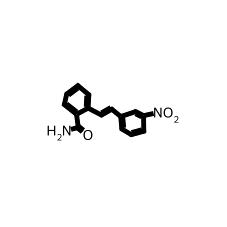 NC(=O)c1ccccc1C=Cc1cccc([N+](=O)[O-])c1